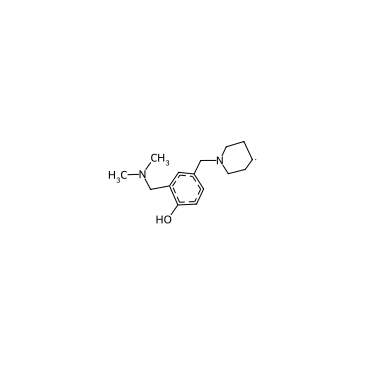 CN(C)Cc1cc(CN2CC[CH]CC2)ccc1O